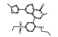 CCCNc1ccc(S(=O)(=O)CC)cc1-c1cn(C)c(=O)c2ccc(-c3cnn(C)c3)cc12